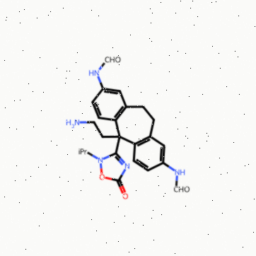 CC(C)n1oc(=O)nc1C1(CCN)c2ccc(NC=O)cc2CCc2cc(NC=O)ccc21